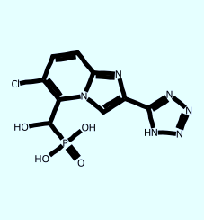 O=P(O)(O)C(O)c1c(Cl)ccc2nc(-c3nnn[nH]3)cn12